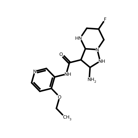 CCOc1ccncc1NC(=O)C1C(N)NN2CC(F)CNC12